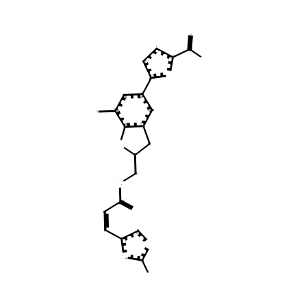 CC(=O)c1ccc(-c2cc(Cl)c3c(c2)CC(CNC(=O)/C=C\c2coc(C)n2)O3)s1